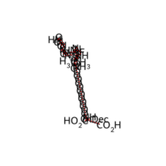 CCCCCCCCCCCC(CCCCCCCCCCC(=O)O)(C(=O)O)C(=O)NCCOCCOCCOCCOCCOCCOCCOCCOCCOCCOCCOCCOCCC(=O)NCC(=O)OC(C)(C)c1ccc(C(=O)Nc2cc(F)cc(-c3ncnc4[nH]c(-c5ccc(CN6CCC(OC7CCN(CCn8cccc(CN9CCC(=O)NC9=O)c8=O)CC7)CC6)cc5)cc34)c2C)c(F)c1